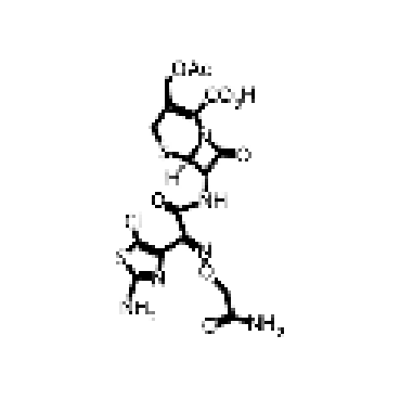 CC(=O)OCC1=C(C(=O)O)N2C(=O)[C@@H](NC(=O)C(=NOCC(N)=O)c3nc(N)sc3Cl)[C@H]2SC1